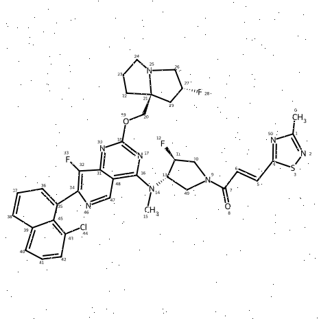 Cc1nsc(/C=C/C(=O)N2C[C@H](F)[C@@H](N(C)c3nc(OC[C@@]45CCCN4C[C@H](F)C5)nc4c(F)c(-c5cccc6cccc(Cl)c56)ncc34)C2)n1